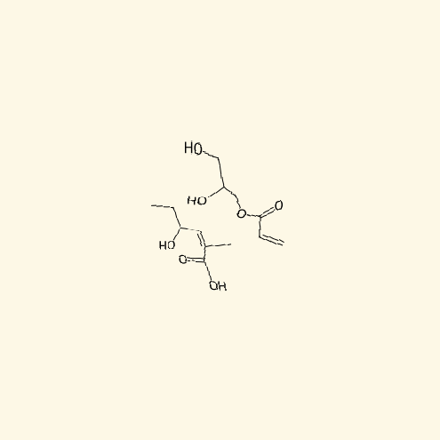 C=CC(=O)OCC(O)CO.CCC(O)C=C(C)C(=O)O